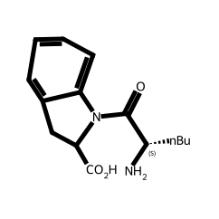 CCCC[C@H](N)C(=O)N1c2ccccc2CC1C(=O)O